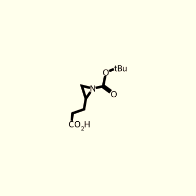 CC(C)(C)OC(=O)N1CC1CCC(=O)O